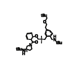 CC(C)(C)COCCc1ccc(CNC(C)(C)C)c(CC(C)(C)COC2C=CC=CC2C(=O)N2CC[C@@H](NC(C)(C)C)C2)c1